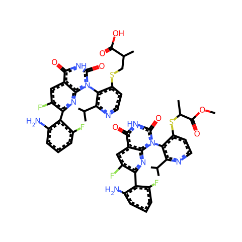 CC(CSc1ccnc(C(C)C)c1-n1c(=O)[nH]c(=O)c2cc(F)c(-c3c(N)cccc3F)nc21)C(=O)O.COC(=O)C(C)Sc1ccnc(C(C)C)c1-n1c(=O)[nH]c(=O)c2cc(F)c(-c3c(N)cccc3F)nc21